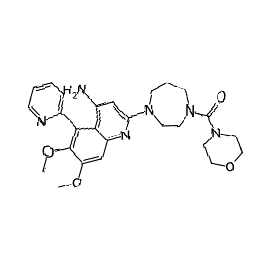 COc1cc2nc(N3CCCN(C(=O)N4CCOCC4)CC3)cc(N)c2c(-c2ccccn2)c1OC